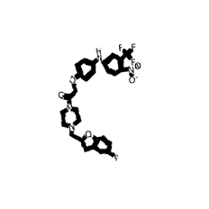 O=C(COc1ccc(Nc2ccc([N+](=O)[O-])c(C(F)(F)F)c2)cc1)N1CCN(CC2Cc3cc(F)ccc3O2)CC1